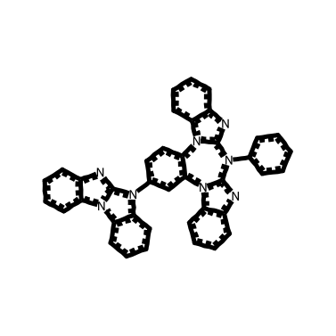 c1ccc(-n2c3nc4ccccc4n3c3ccc(-n4c5ccccc5n5c6ccccc6nc45)cc3n3c4ccccc4nc23)cc1